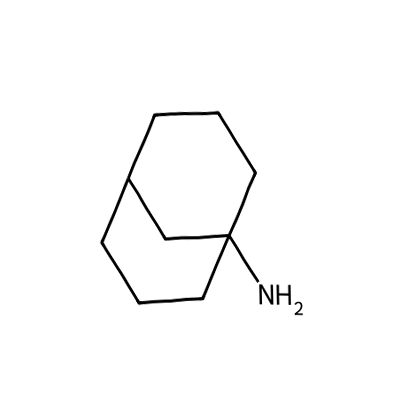 NC12CCCC(CCC1)C2